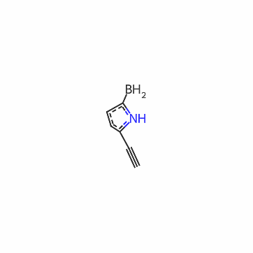 Bc1ccc(C#C)[nH]1